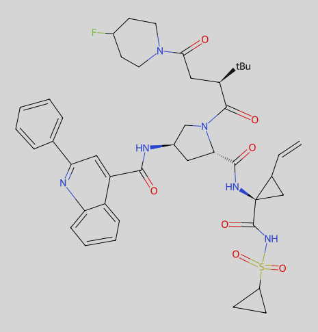 C=CC1C[C@]1(NC(=O)[C@@H]1C[C@@H](NC(=O)c2cc(-c3ccccc3)nc3ccccc23)CN1C(=O)[C@@H](CC(=O)N1CCC(F)CC1)C(C)(C)C)C(=O)NS(=O)(=O)C1CC1